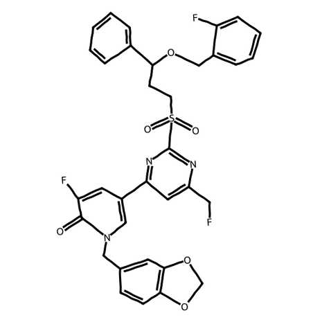 O=c1c(F)cc(-c2cc(CF)nc(S(=O)(=O)CCC(OCc3ccccc3F)c3ccccc3)n2)cn1Cc1ccc2c(c1)OCO2